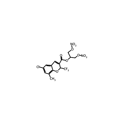 Cc1cc(Cl)cc2c1OC(C(F)(F)F)C(C(=O)OC(CO[N+](=O)[O-])CO[N+](=O)[O-])=C2